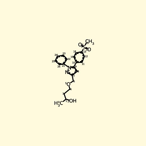 CC(O)CCOCc1cc(-c2ccc(S(C)(=O)=O)cc2)n(-c2ccccc2)n1